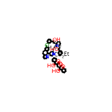 CCOC(=O)N1CCC(=C2c3ccc(Cl)cc3CCc3cccnc32)CC1.CN1[C@@H](C[C@@H](O)c2ccccc2)CCC[C@H]1C[C@H](O)c1ccccc1.O=c1oc2ccccc2c(O)c1Cc1c(O)c2ccccc2oc1=O